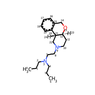 CCCN(CCC)CCN1CC[C@@H]2OCc3ccccc3[C@H]2C1